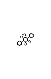 O=C1C(=O)C(c2ccccc2)=C2OCOC2=C1c1ccccc1